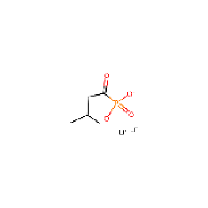 CC(C)CC(=O)P(=O)([O-])[O-].[Li+].[Li+]